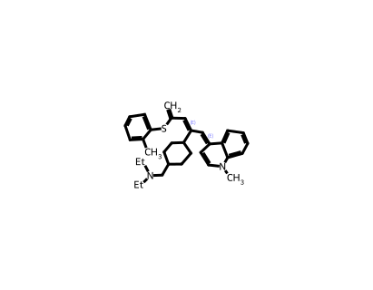 C=C(/C=C(/C=C1\C=CN(C)c2ccccc21)C1CCC(CN(CC)CC)CC1)Sc1ccccc1C